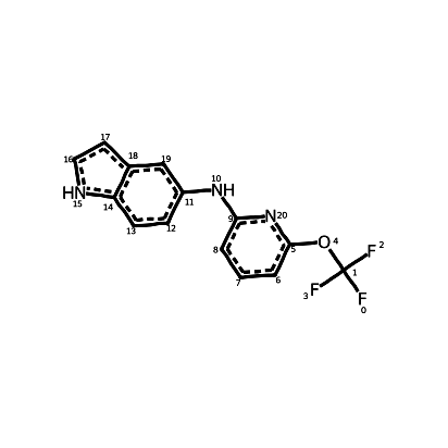 FC(F)(F)Oc1cccc(Nc2ccc3[nH]ccc3c2)n1